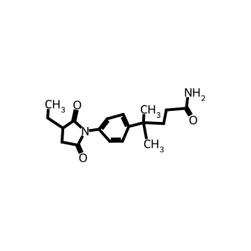 CCC1CC(=O)N(c2ccc(C(C)(C)CCC(N)=O)cc2)C1=O